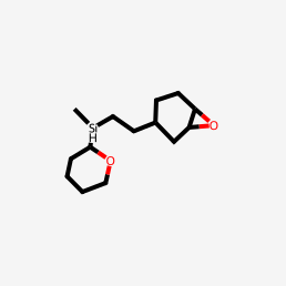 C[SiH](CCC1CCC2OC2C1)C1CCCCO1